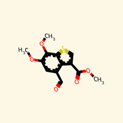 COC(=O)c1csc2c(OC)c(OC)cc(C=O)c12